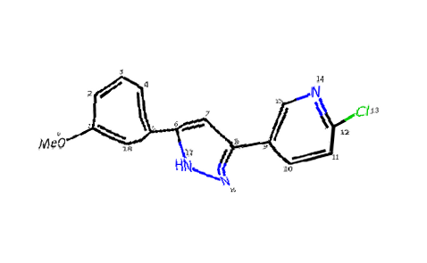 COc1cccc(-c2cc(-c3ccc(Cl)nc3)n[nH]2)c1